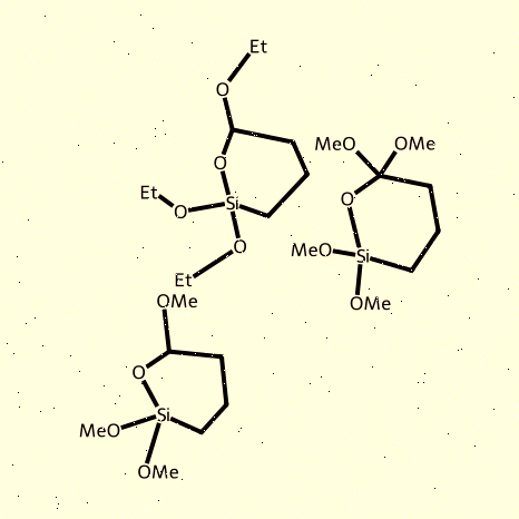 CCOC1CCC[Si](OCC)(OCC)O1.COC1(OC)CCC[Si](OC)(OC)O1.COC1CCC[Si](OC)(OC)O1